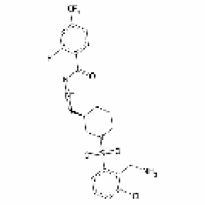 NCc1c(Cl)cccc1S(=O)(=O)N1CCC[C@H](N=[N+]=NC(=O)c2ccc(C(F)(F)F)cc2F)C1